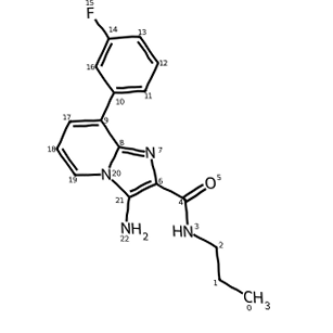 CCCNC(=O)c1nc2c(-c3cccc(F)c3)cccn2c1N